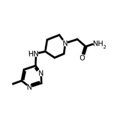 Cc1cc(NC2CCN(CC(N)=O)CC2)ncn1